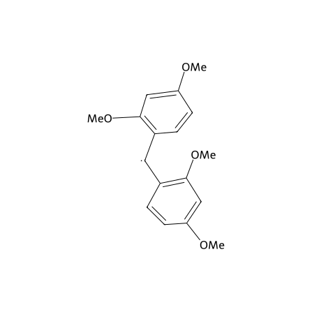 COc1ccc([CH]c2ccc(OC)cc2OC)c(OC)c1